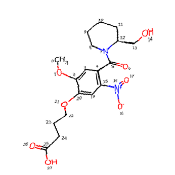 COc1cc(C(=O)N2CCCC[C@H]2CO)c([N+](=O)[O-])cc1OCCCC(=O)O